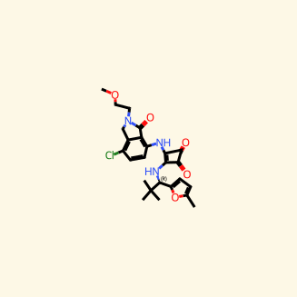 COCCN1Cc2c(Cl)ccc(Nc3c(N[C@@H](c4ccc(C)o4)C(C)(C)C)c(=O)c3=O)c2C1=O